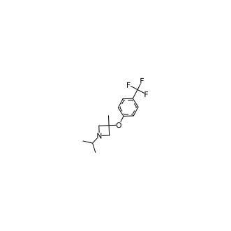 CC(C)N1CC(C)(Oc2ccc(C(F)(F)F)cc2)C1